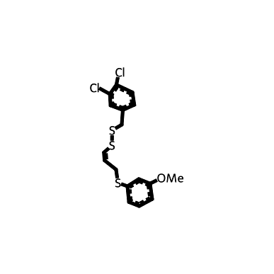 COc1cccc(SC/C=C\SSCc2ccc(Cl)c(Cl)c2)c1